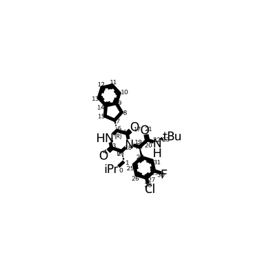 CC(C)C[C@@H]1C(=O)N[C@H](C2Cc3ccccc3C2)C(=O)N1[C@@H](C(=O)NC(C)(C)C)c1ccc(Cl)c(F)c1